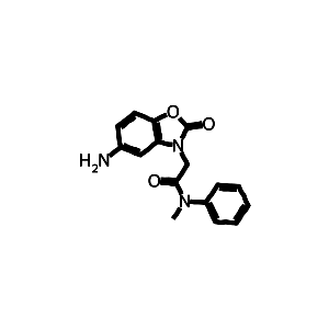 CN(C(=O)Cn1c(=O)oc2ccc(N)cc21)c1ccccc1